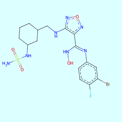 NS(=O)(=O)NC1CCCC(CNc2nonc2C(=Nc2ccc(F)c(Br)c2)NO)C1